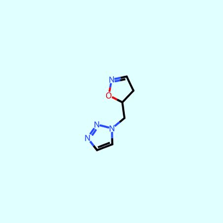 C1=NOC(Cn2ccnn2)C1